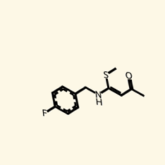 CS/C(=C\C(C)=O)NCc1ccc(F)cc1